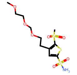 COCCOCOCCc1cc(S(N)(=O)=O)sc1S(C)(=O)=O